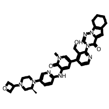 C[C@H]1CN(C2COC2)CCN1c1ccc(Nc2cc(-c3ccnc(-n4cnn5c6c(cc5c4=O)CCCC6)c3CO)cn(C)c2=O)nc1